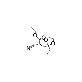 CCOC(=O)C(C#N)CC1(CC)OCCO1